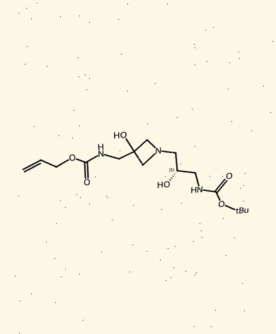 C=CCOC(=O)NCC1(O)CN(C[C@@H](O)CNC(=O)OC(C)(C)C)C1